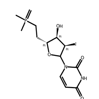 C=P(C)(C)CC[C@H]1OC(n2ccc(=O)[nH]c2=O)[C@H](I)[C@@H]1O